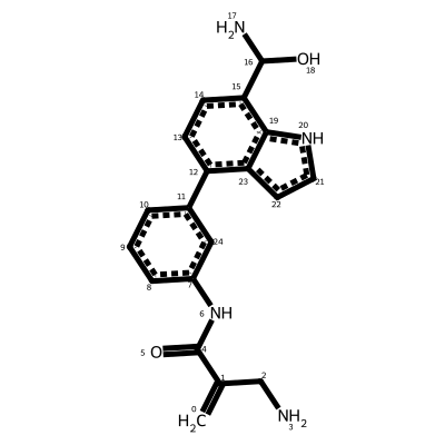 C=C(CN)C(=O)Nc1cccc(-c2ccc(C(N)O)c3[nH]ccc23)c1